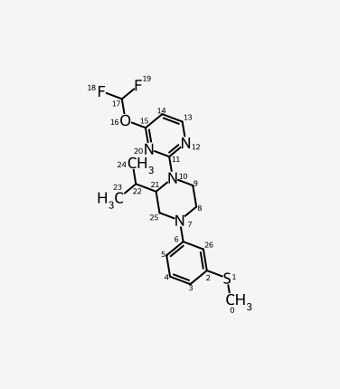 CSc1cccc(N2CCN(c3nccc(OC(F)F)n3)C(C(C)C)C2)c1